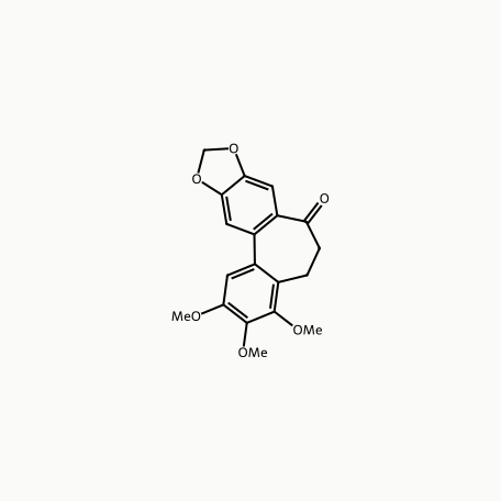 COc1cc2c(c(OC)c1OC)CCC(=O)c1cc3c(cc1-2)OCO3